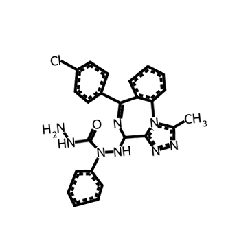 Cc1nnc2n1-c1ccccc1C(c1ccc(Cl)cc1)=NC2NN(C(=O)NN)c1ccccc1